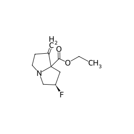 C=C1CCN2C[C@H](F)CC12C(=O)OCC